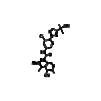 CO[C@H](C)c1c(NC(=O)Nc2cnc(-n3ncc(C(C)(C)O)n3)c(Cl)c2)cnc(C)c1C#N